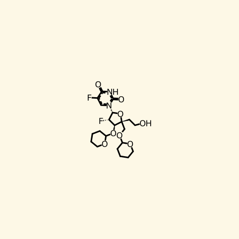 O=c1[nH]c(=O)n([C@@H]2O[C@](CCO)(COC3CCCCO3)[C@@H](OC3CCCCO3)[C@@H]2F)cc1F